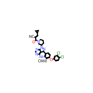 COc1cc(-c2nn([C@@H]3CCCN(C(=O)C(C#N)=CC4CC4)C3)c3ncnc(N)c23)ccc1Oc1ccc(Cl)c(Cl)c1